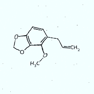 C=CCc1ccc2c(c1OC)OCO2